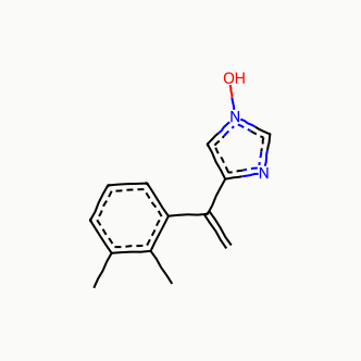 C=C(c1cn(O)cn1)c1cccc(C)c1C